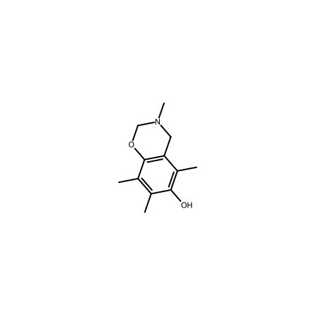 Cc1c(C)c2c(c(C)c1O)CN(C)CO2